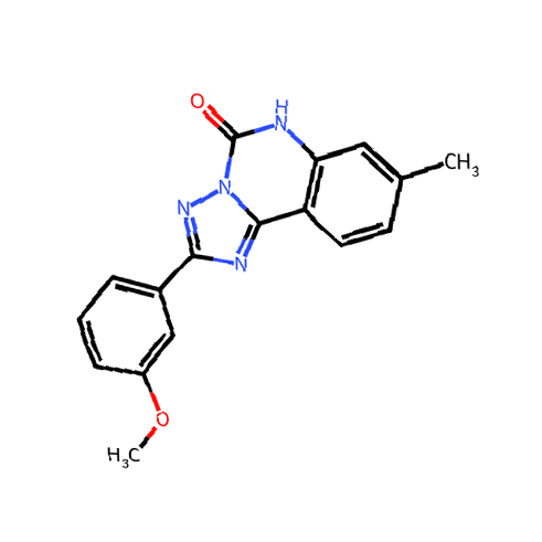 COc1cccc(-c2nc3c4ccc(C)cc4[nH]c(=O)n3n2)c1